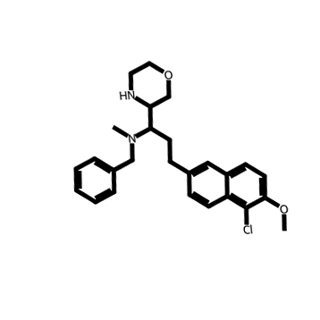 COc1ccc2cc(CCC(C3COCCN3)N(C)Cc3ccccc3)ccc2c1Cl